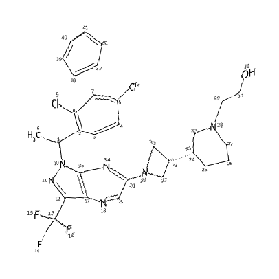 CC(c1ccc(Cl)cc1Cl)n1nc(C(F)(F)F)c2ncc(N3CC([C@H]4CCCN(CCO)C4)C3)nc21.c1ccccc1